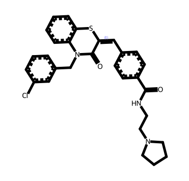 O=C(NCCN1CCCC1)c1ccc(/C=C2/Sc3ccccc3N(Cc3cccc(Cl)c3)C2=O)cc1